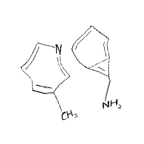 Cc1cccnc1.Nc1c2cccc1-2